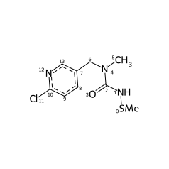 CSNC(=O)N(C)Cc1ccc(Cl)nc1